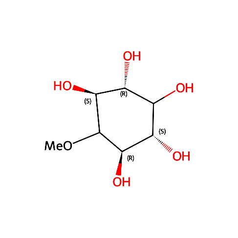 COC1[C@@H](O)[C@H](O)C(O)[C@H](O)[C@H]1O